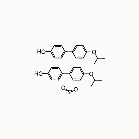 CC(C)Oc1ccc(-c2ccc(O)cc2)cc1.CC(C)Oc1ccc(-c2ccc(O)cc2)cc1.O=S=O